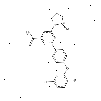 CC(=O)[C@@H]1CCCN1c1cc(C(N)=O)nc(-c2ccc(Oc3cc(Cl)ccc3F)cc2)n1